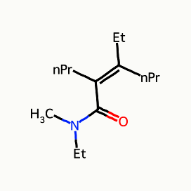 CCCC(CC)=C(CCC)C(=O)N(C)CC